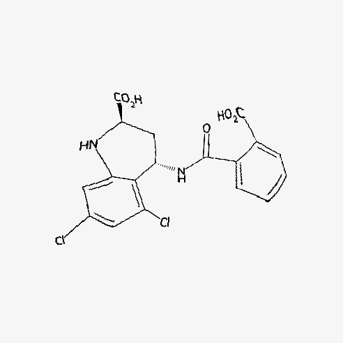 O=C(O)c1ccccc1C(=O)N[C@H]1C[C@H](C(=O)O)Nc2cc(Cl)cc(Cl)c21